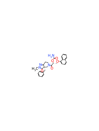 CN1N=C2CCN(C(=O)[C@@H](COc3cccc4ccccc34)OC(N)=O)C[C@@]2(Cc2ccccc2)C1=O